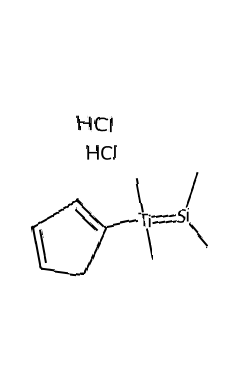 C[Si](C)=[Ti]([CH3])([CH3])[C]1=CC=CC1.Cl.Cl